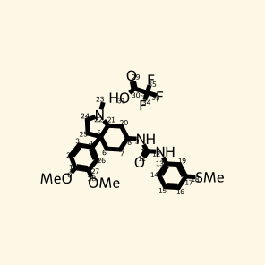 COc1ccc(C23CCC(NC(=O)Nc4cccc(SC)c4)CC2N(C)CC3)cc1OC.O=C(O)C(F)(F)F